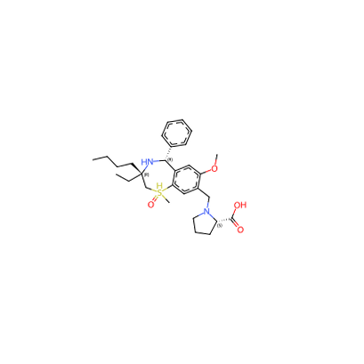 CCCC[C@]1(CC)C[SH](C)(=O)c2cc(CN3CCC[C@H]3C(=O)O)c(OC)cc2[C@@H](c2ccccc2)N1